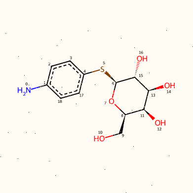 Nc1ccc(S[C@@H]2O[C@H](CO)[C@H](O)[C@H](O)[C@H]2O)cc1